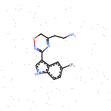 NCCC1=NC(c2c[nH]c3ccc(C(F)(F)F)cc23)=NOC1